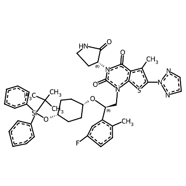 Cc1ccc(F)cc1[C@H](Cn1c(=O)n([C@@H]2CCNC2=O)c(=O)c2c(C)c(-n3nccn3)sc21)O[C@H]1CC[C@@H](O[Si](c2ccccc2)(c2ccccc2)C(C)(C)C)CC1